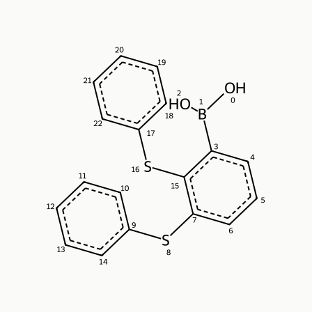 OB(O)c1cccc(Sc2ccccc2)c1Sc1ccccc1